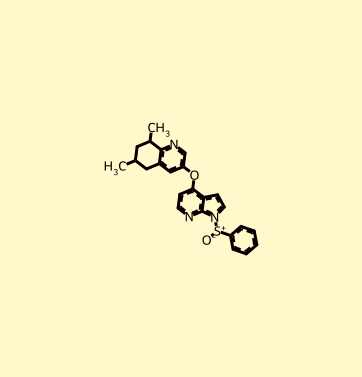 CC1Cc2cc(Oc3ccnc4c3ccn4[S+]([O-])c3ccccc3)cnc2C(C)C1